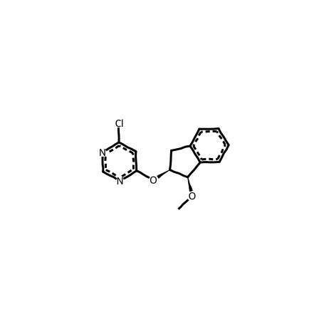 CO[C@@H]1c2ccccc2C[C@@H]1Oc1cc(Cl)ncn1